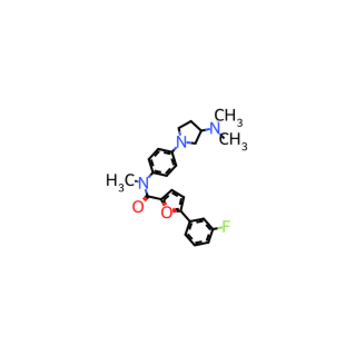 CN(C(=O)c1ccc(-c2cccc(F)c2)o1)c1ccc(N2CCC(N(C)C)C2)cc1